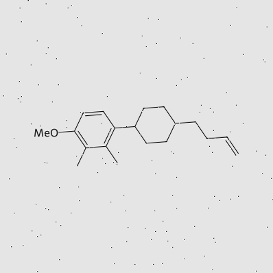 C=CCCC1CCC(c2ccc(OC)c(C)c2C)CC1